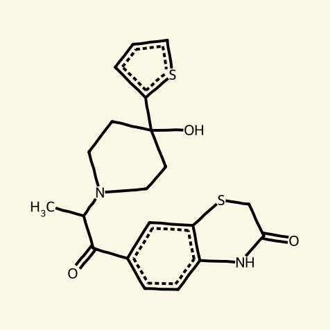 CC(C(=O)c1ccc2c(c1)SCC(=O)N2)N1CCC(O)(c2cccs2)CC1